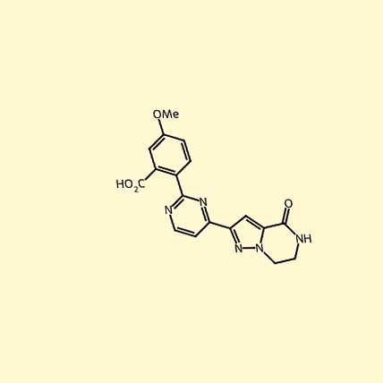 COc1ccc(-c2nccc(-c3cc4n(n3)CCNC4=O)n2)c(C(=O)O)c1